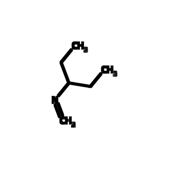 C=NC(CC)CC